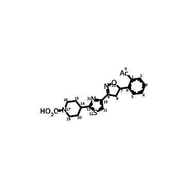 CC(=O)c1ccccc1C1CC(c2csc(C3CCN(C(=O)O)CC3)n2)=NO1